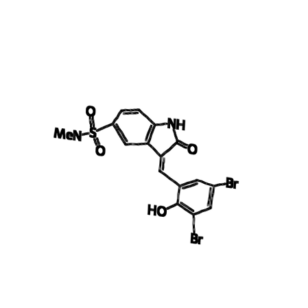 CNS(=O)(=O)c1ccc2c(c1)C(=Cc1cc(Br)cc(Br)c1O)C(=O)N2